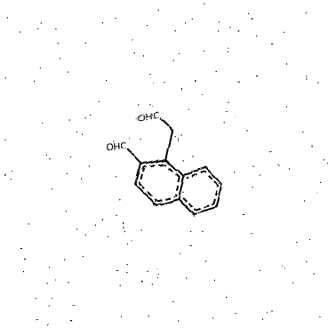 O=[C]Cc1c(C=O)ccc2ccccc12